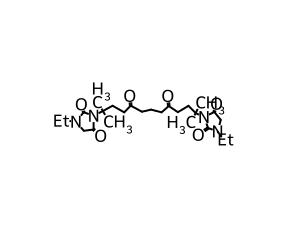 CCN1CC(=O)N(C(C)(C)CCC(=O)CCCC(=O)CCC(C)(C)N2C(=O)CN(CC)C2=O)C1=O